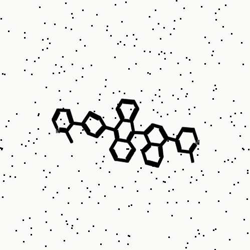 Cc1cc(-c2ccc(-c3c4ccccc4c(-c4ccc(-c5cccnc5C)cc4)c4ccccc34)c3ccccc23)ccn1